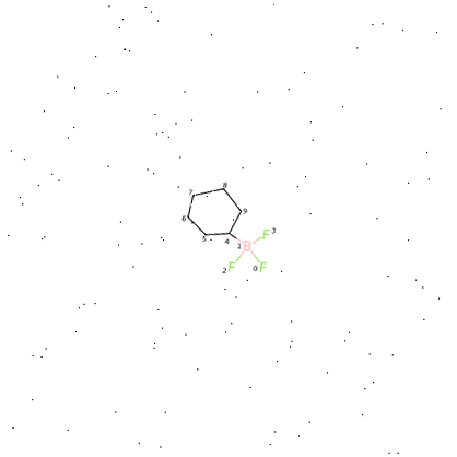 F[B-](F)(F)C1CCCCC1